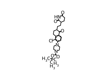 CC(C)(C)OC(=O)N1CCN(c2ccc3c(c2Cl)CCC(CCC2CCC(=O)NC2=O)C3=O)CC1